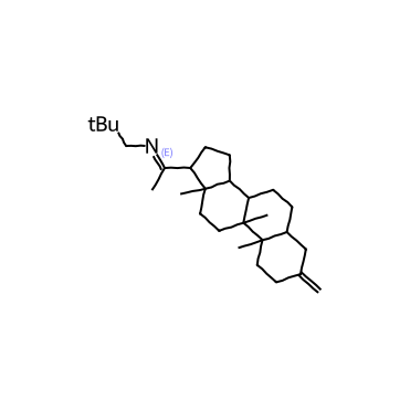 C=C1CCC2(C)C(CCC3C4CCC(/C(C)=N/CC(C)(C)C)C4(C)CCC32C)C1